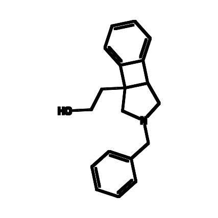 OCCC12CN(Cc3ccccc3)CC1c1ccccc12